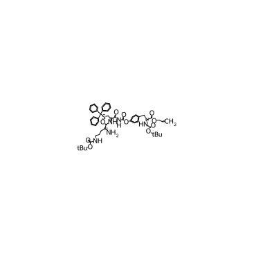 C=CCOC(=O)[C@H](Cc1ccc(OC(=O)NC(=O)[C@H](CSC(c2ccccc2)(c2ccccc2)c2ccccc2)NC(=O)[C@@H](N)CCCNC(=O)OC(C)(C)C)cc1)NC(=O)OC(C)(C)C